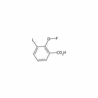 O=C(O)c1cccc(I)c1OF